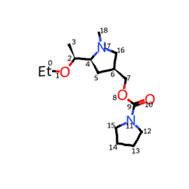 CCO[C@@H](C)[C@@H]1C[C@H](COC(=O)N2CCCC2)CN1C